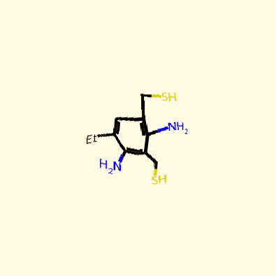 CCc1cc(CS)c(N)c(CS)c1N